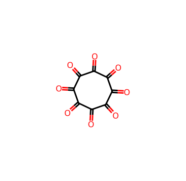 O=C1C(=O)C(=O)C(=O)C(=O)C(=O)C(=O)C1=O